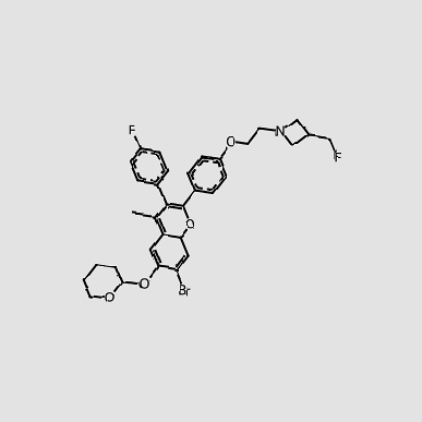 CC1=C2C=C(OC3CCCCO3)C(Br)=CC2OC(c2ccc(OCCN3CC(CF)C3)cc2)=C1c1ccc(F)cc1